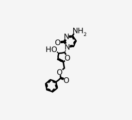 Nc1ccn([C@@H]2OC(COC(=O)c3ccccc3)=C[C@H]2O)c(=O)n1